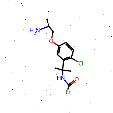 CCC(=O)NC(C)(C)c1cc(OC[C@H](C)N)ccc1Cl